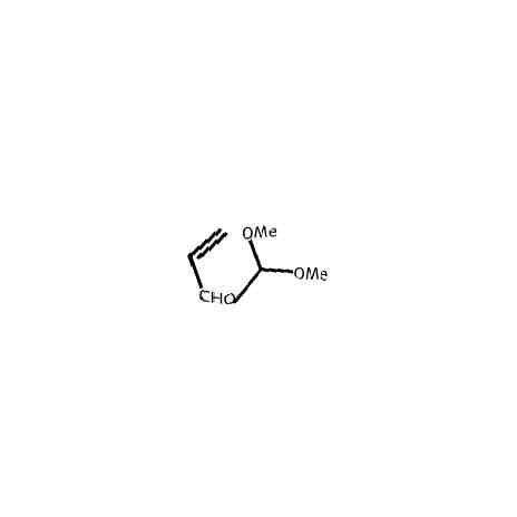 C=CC=O.COC(C)OC